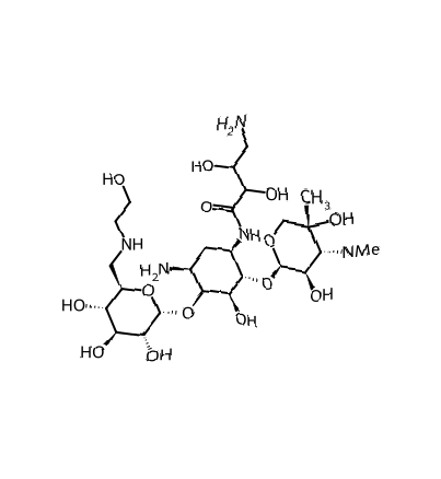 CN[C@@H]1[C@@H](O)[C@@H](O[C@H]2[C@H](NC(=O)C(O)C(O)CN)C[C@H](N)C(O[C@H]3O[C@H](CNCCO)[C@@H](O)[C@H](O)[C@H]3O)[C@@H]2O)OC[C@]1(C)O